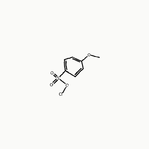 COc1ccc(S(=O)(=O)OCl)cc1